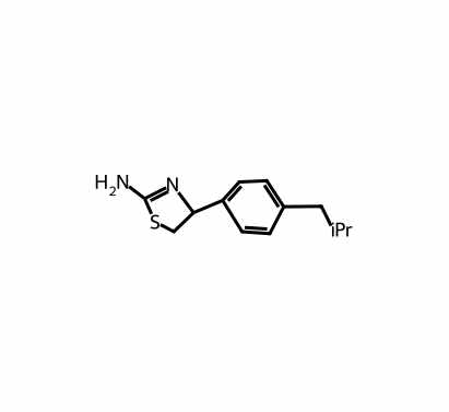 CC(C)Cc1ccc(C2CSC(N)=N2)cc1